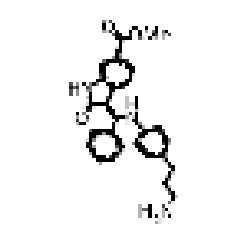 COC(=O)c1ccc2c(c1)NC(=O)/C2=C(/Nc1ccc(CCCN)cc1)c1ccccc1